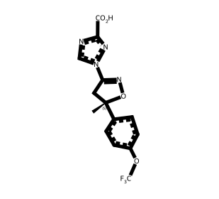 C[C@@]1(c2ccc(OC(F)(F)F)cc2)CC(n2cnc(C(=O)O)n2)=NO1